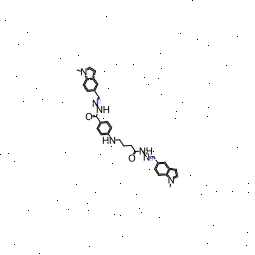 Cn1ccc2cc(/C=N/NC(=O)CCCNc3ccc(C(=O)N/N=C/c4ccc5c(ccn5C)c4)cc3)ccc21